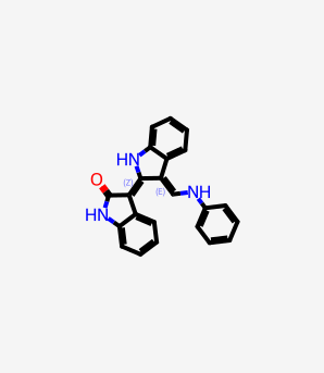 O=C1Nc2ccccc2/C1=c1/[nH]c2ccccc2/c1=C\Nc1ccccc1